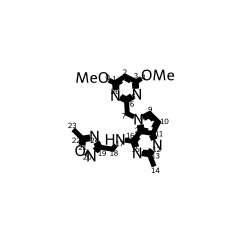 COc1cc(OC)nc(Cn2ccc3nc(C)nc(NCc4noc(C)n4)c32)n1